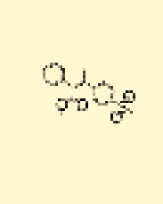 COC(=O)/C(=C(/C)c1ccc(S(C)(=O)=O)cc1)c1ccccc1